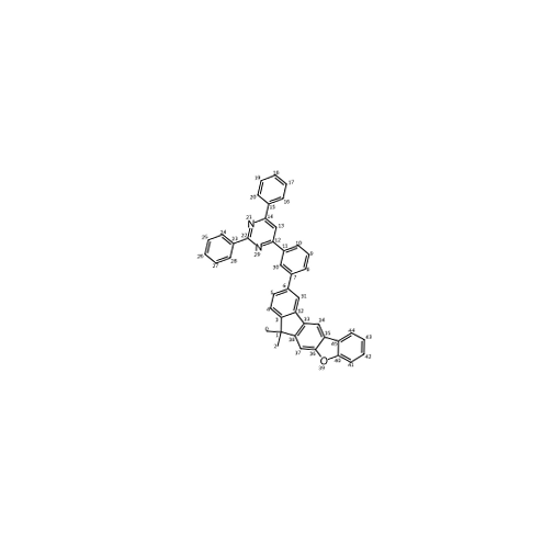 CC1(C)c2ccc(-c3cccc(-c4cc(-c5ccccc5)nc(-c5ccccc5)n4)c3)cc2-c2cc3c(cc21)oc1ccccc13